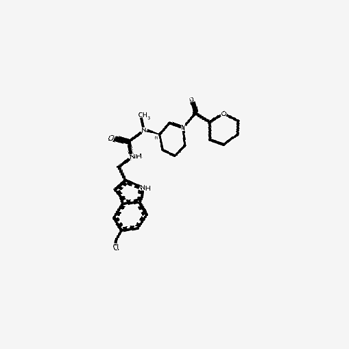 CN(C(=O)NCc1cc2cc(Cl)ccc2[nH]1)[C@@H]1CCCN(C(=O)C2CCCCO2)C1